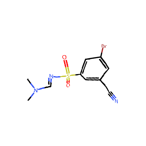 CN(C)C=NS(=O)(=O)c1cc(Br)cc(C#N)c1